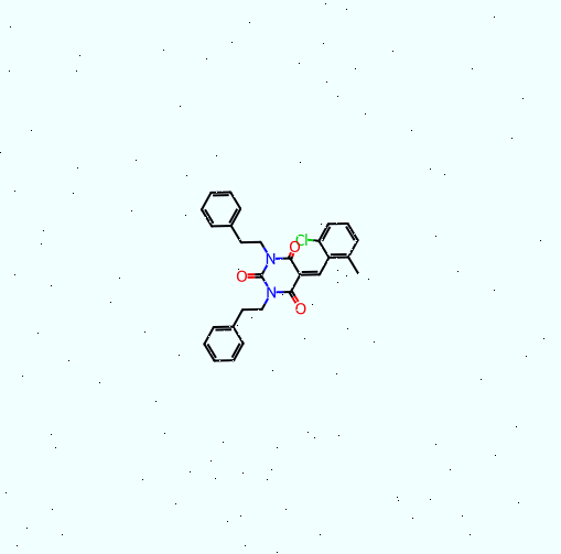 Cc1cccc(Cl)c1C=C1C(=O)N(CCc2ccccc2)C(=O)N(CCc2ccccc2)C1=O